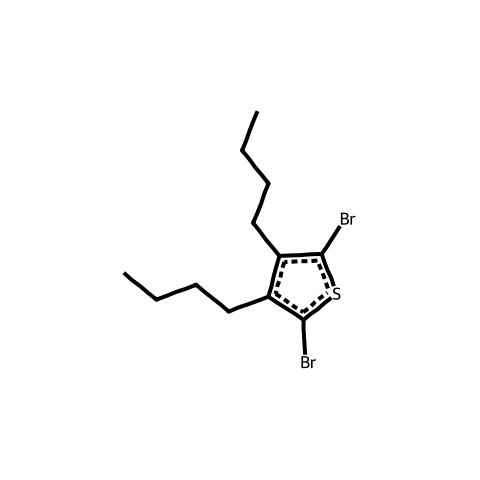 CCCCc1c(Br)sc(Br)c1CCCC